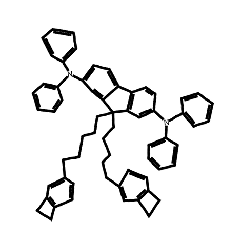 c1ccc(N(c2ccccc2)c2ccc3c(c2)C(CCCCCc2ccc4c(c2)CC4)(CCCCCc2ccc4c(c2)CC4)c2cc(N(c4ccccc4)c4ccccc4)ccc2-3)cc1